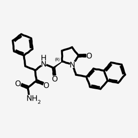 NC(=O)C(=O)C(Cc1ccccc1)NC(=O)[C@H]1CCC(=O)N1Cc1ccc2ccccc2c1